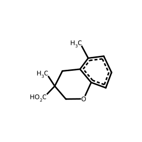 Cc1cccc2c1CC(C)(C(=O)O)CO2